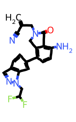 C=C(C#N)CN1Cc2c(-c3ccc4cnn(CC(F)F)c4c3)ccc(N)c2C1=O